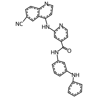 N#Cc1ccc2nccc(Nc3cc(C(=O)Nc4cccc(Nc5ccccc5)c4)ccn3)c2c1